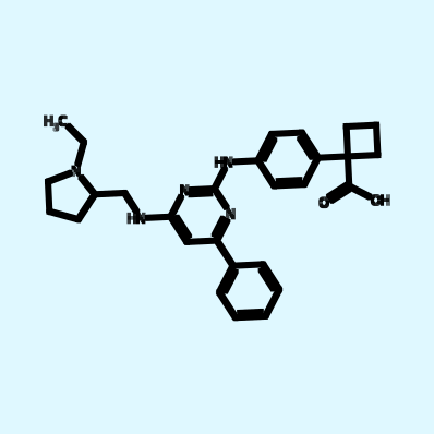 CCN1CCCC1CNc1cc(-c2ccccc2)nc(Nc2ccc(C3(C(=O)O)CCC3)cc2)n1